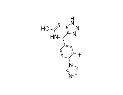 OC(=S)NC(c1ccc(-n2ccnc2)c(F)c1)c1c[nH]nn1